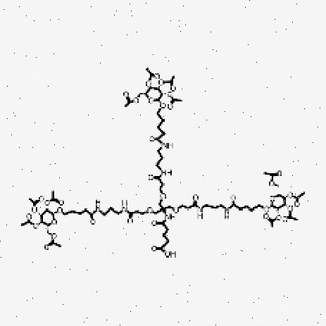 CC(=O)OC[C@H]1O[C@H](OCCCCC(=O)NCCCNC(=O)CCOCC(COCCC(=O)NCCCNC(=O)CCCCO[C@H]2O[C@H](COC(C)=O)[C@@H](OC(C)=O)[C@H](OC(C)=O)[C@@H]2OC(C)=O)(COCCC(=O)NCCCNC(=O)CCCCO[C@H]2O[C@H](COC(C)=O)[C@@H](OC(C)=O)[C@H](OC(C)=O)[C@@H]2OC(C)=O)NC(=O)CCCC(=O)O)[C@@H](OC(C)=O)[C@@H](OC(C)=O)[C@@H]1OC(C)=O